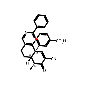 C[C@@H]1C(=O)C(C#N)=C[C@]2(c3cccc(C(=O)O)c3)c3nc(-c4ccccc4)ncc3CC[C@@H]12